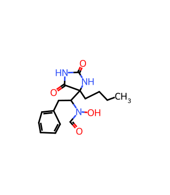 CCCCC1(C(Cc2ccccc2)N(O)C=O)NC(=O)NC1=O